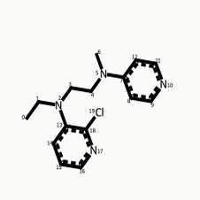 CCN(CCN(C)c1ccncc1)c1cccnc1Cl